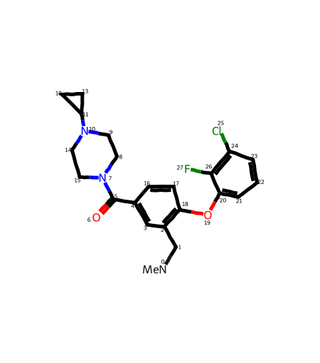 CNCc1cc(C(=O)N2CCN(C3CC3)CC2)ccc1Oc1cccc(Cl)c1F